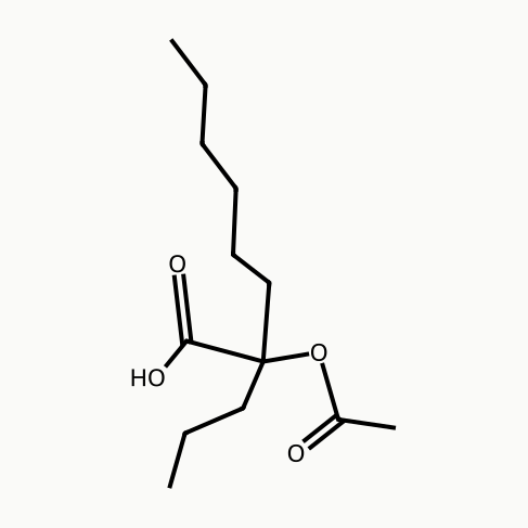 CCCCCCC(CCC)(OC(C)=O)C(=O)O